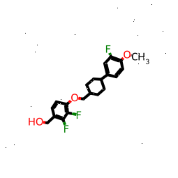 COc1ccc(C2CCC(COc3ccc(CO)c(F)c3F)CC2)cc1F